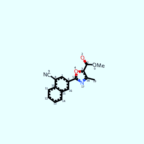 COC(=O)c1oc(-c2cc(C#N)c3ccccc3c2)nc1C